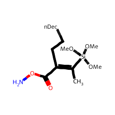 CCCCCCCCCCCCC(C(=O)ON)=C(C)[Si](OC)(OC)OC